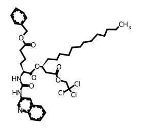 CCCCCCCCCCCCC[C@@H](CC(=O)OCC(Cl)(Cl)Cl)OC(=O)[C@H](CCCC(=O)OCc1ccccc1)NC(=O)Nc1cnc2ccccc2c1